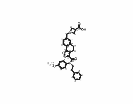 COc1ccc(N(CCc2ccccc2)C(=O)c2noc3c2CCc2cc(CN4CC(C(=O)O)C4)ccc2-3)cc1